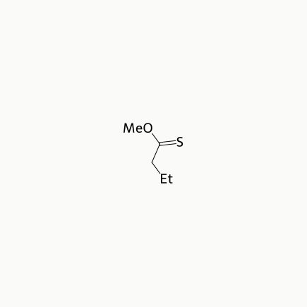 CCCC(=S)OC